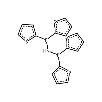 c1csc(P(NP(c2cccs2)c2cccs2)c2cccs2)c1